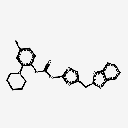 Cc1ccc(NC(=O)Nc2ncc(Cc3nc4ccccc4o3)s2)c(N2CCCCC2)c1